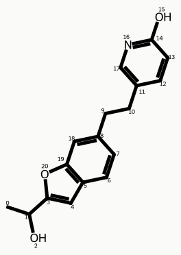 CC(O)c1cc2ccc(CCc3ccc(O)nc3)cc2o1